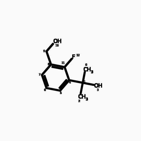 CC(C)(O)c1cccc(CO)c1F